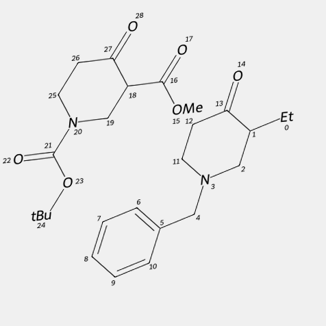 CCC1CN(Cc2ccccc2)CCC1=O.COC(=O)C1CN(C(=O)OC(C)(C)C)CCC1=O